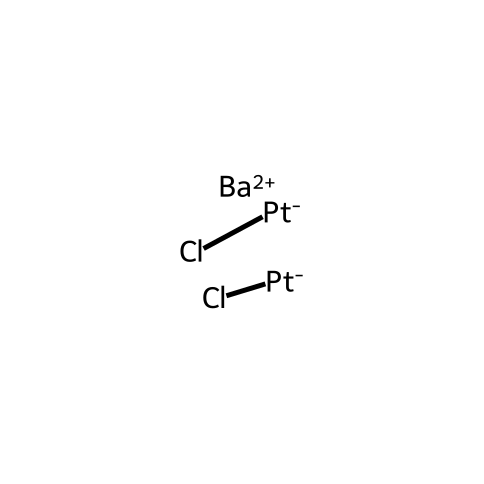 [Ba+2].[Cl][Pt-].[Cl][Pt-]